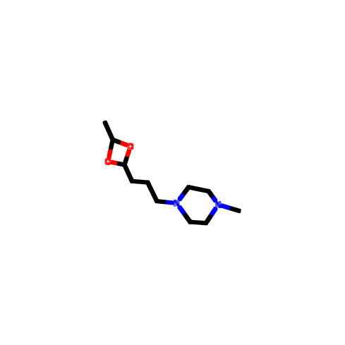 CC1OC(CCCN2CCN(C)CC2)O1